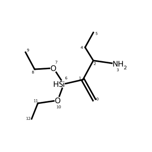 C=C(C(N)CC)[SiH](OCC)OCC